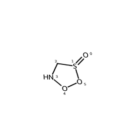 O=S1CNOO1